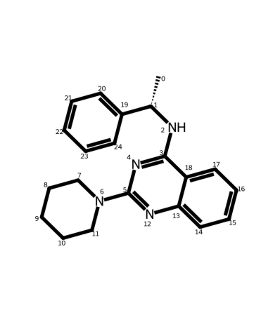 C[C@H](Nc1nc(N2CCCCC2)nc2ccccc12)c1ccccc1